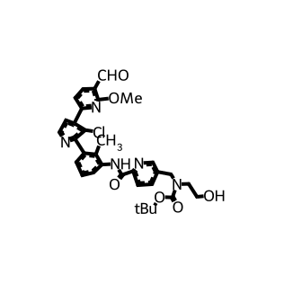 COc1nc(-c2ccnc(-c3cccc(NC(=O)c4ccc(CN(CCO)C(=O)OC(C)(C)C)cn4)c3C)c2Cl)ccc1C=O